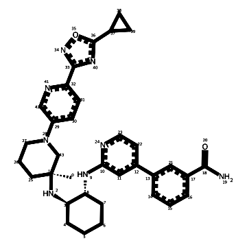 C[C@]1(N[C@@H]2CCCC[C@H]2Nc2cc(-c3cccc(C(N)=O)c3)ccn2)CCCN(c2ccc(-c3noc(C4CC4)n3)nc2)C1